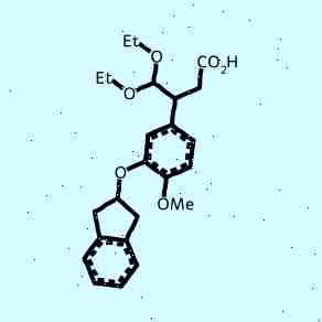 CCOC(OCC)C(CC(=O)O)c1ccc(OC)c(OC2Cc3ccccc3C2)c1